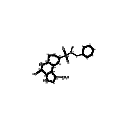 CN(Cc1ccccc1)S(=O)(=O)c1ccc2[nH]c(=O)c3[nH]cc(C(=O)O)c3c2c1